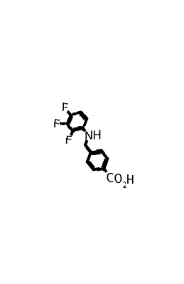 O=C(O)c1ccc(CNc2ccc(F)c(F)c2F)cc1